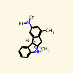 CCN(CC)c1cc(C)c2c(c1)[C@@H]1c3ccccc3N[C@]1(C)C2